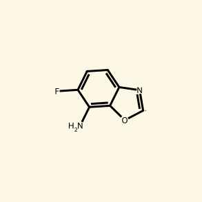 Nc1c(F)ccc2n[c]oc12